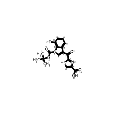 CC(C)(C)OC(=O)n1cc(C(=O)c2nc(C(=O)O)cs2)c2cccc(F)c21